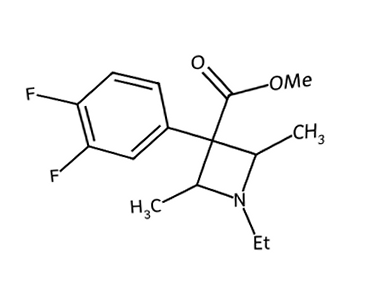 CCN1C(C)C(C(=O)OC)(c2ccc(F)c(F)c2)C1C